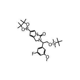 COc1cc(F)cc(C(CO[Si](C)(C)C(C)(C)C)N2Cc3cc(B4OC(C)(C)C(C)(C)O4)cn3C2=O)c1